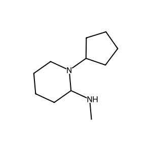 CNC1CCCCN1C1CCCC1